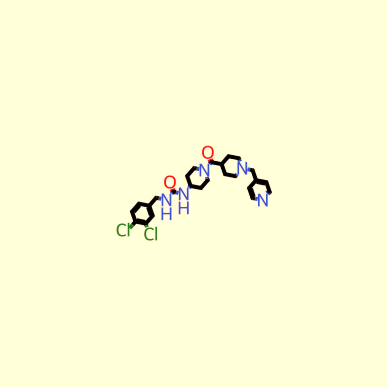 O=C(NCc1ccc(Cl)c(Cl)c1)NC1CCN(C(=O)C2CCN(Cc3ccncc3)CC2)CC1